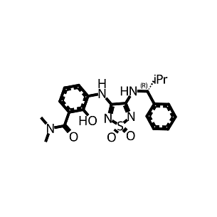 CC(C)[C@@H](NC1=NS(=O)(=O)N=C1Nc1cccc(C(=O)N(C)C)c1O)c1ccccc1